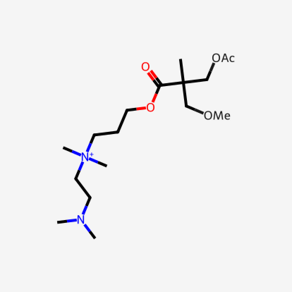 COCC(C)(COC(C)=O)C(=O)OCCC[N+](C)(C)CCN(C)C